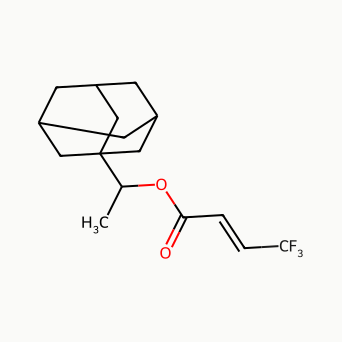 CC(OC(=O)C=CC(F)(F)F)C12CC3CC(CC(C3)C1)C2